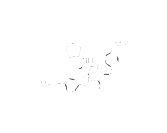 COc1ccc(CN2C(=O)c3cc4ccc(OC)cc4n3CC2(C)C(=O)NC2CCCCC2)cc1